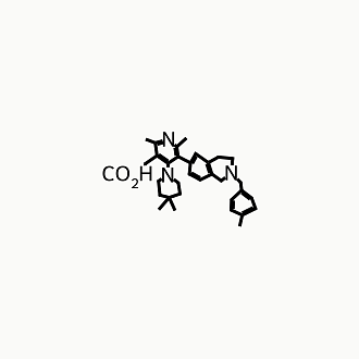 Cc1ccc(CN2CCc3cc(-c4c(C)nc(C)c(CC(=O)O)c4N4CCC(C)(C)CC4)ccc3C2)cc1